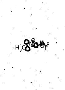 Cc1ccccc1-c1ccccc1N1Cc2ccc(-c3nnc(C(F)F)o3)cc2C1=O